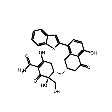 NC(=O)C1=C(O)C[C@H](C[C@H]2CC(=O)c3c(O)ccc(-c4cc5ccccc5s4)c3C2)[C@](O)(CO)C1=O